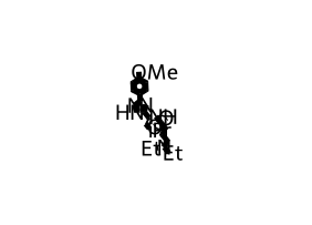 CCN(CC)CCCS(=O)(=O)N[C@@H](CC(C)C)c1nc(-c2ccc(OC)cc2)n[nH]1